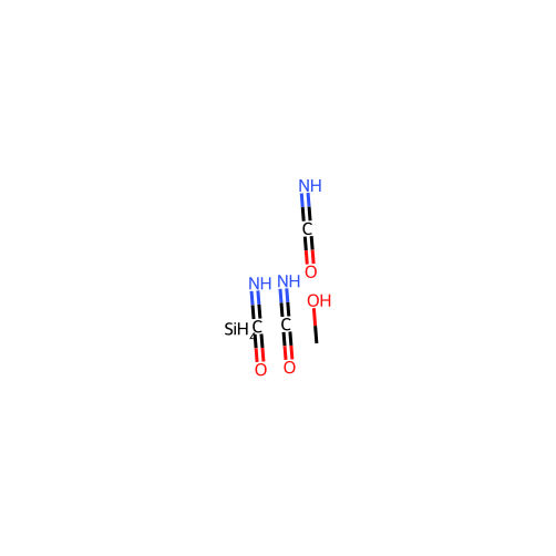 CO.N=C=O.N=C=O.N=C=O.[SiH4]